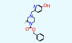 C[C@@H]1CN(Cc2ccc(O)cn2)CCN1C(=O)OCc1ccccc1